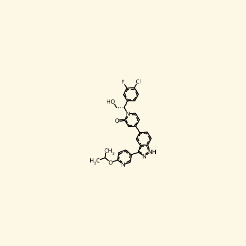 CC(C)Oc1ccc(-c2n[nH]c3ccc(-c4ccn([C@H](CO)c5ccc(Cl)c(F)c5)c(=O)c4)cc23)cn1